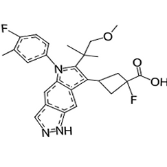 COCC(C)(C)c1c(C2CC(F)(C(=O)O)C2)c2cc3[nH]ncc3cc2n1-c1ccc(F)c(C)c1